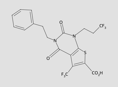 O=C(O)c1sc2c(c1C(F)(F)F)c(=O)n(CCc1ccccc1)c(=O)n2CCC(F)(F)F